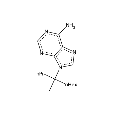 CCCCCCC(C)(CCC)n1cnc2c(N)ncnc21